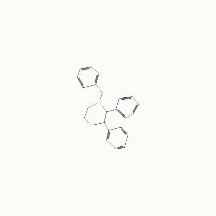 c1ccc(CN2CCNC(c3ccccc3)C2c2ccccc2)cc1